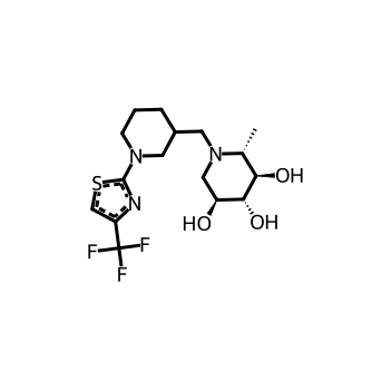 C[C@@H]1[C@@H](O)[C@H](O)[C@@H](O)CN1CC1CCCN(c2nc(C(F)(F)F)cs2)C1